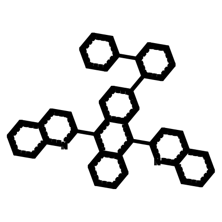 c1ccc(-c2ccccc2-c2ccc3c(-c4ccc5ccccc5n4)c4ccccc4c(-c4ccc5ccccc5n4)c3c2)cc1